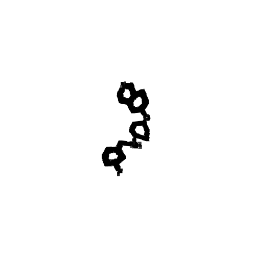 Fc1cccc(CN[C@H]2CC[C@@H](Oc3ccc4cnccc4c3)CC2)c1